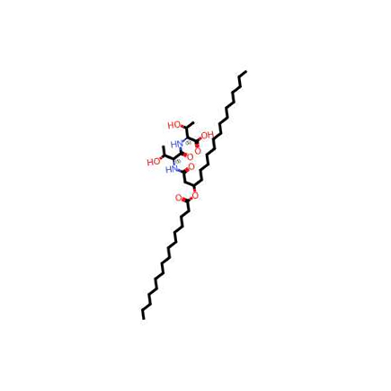 CCCCCCCCCCCCCCCC(=O)OC(CCCCCCCCCCCCCCC)CC(=O)N[C@H](C(=O)N[C@H](C(=O)O)C(C)O)C(C)O